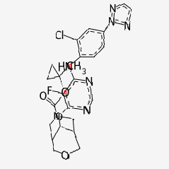 CC1(OC(=O)N2CC3COCC(C2)C3Oc2ncnc(Nc3ccc(-n4nccn4)cc3Cl)c2F)CC1